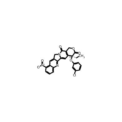 CC[C@@]1(Oc2cccc(Cl)c2)C(=O)OCc2c1cc1n(c2=O)Cc2cc3c([N+](=O)[O-])cccc3nc2-1